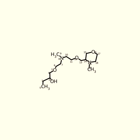 CCC(O)COCCN(C)CCOCC1COCCN1C